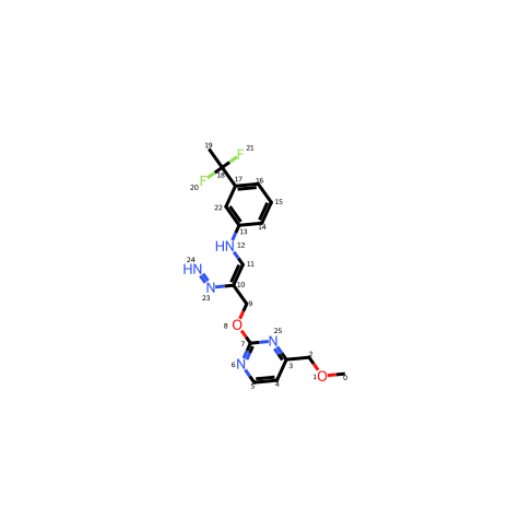 COCc1ccnc(OC/C(=C/Nc2cccc(C(C)(F)F)c2)N=N)n1